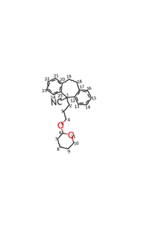 N#CC1(CCCOC2CCCCO2)c2ccccc2CCc2ccccc21